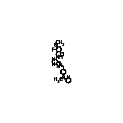 COc1ccc(Cl)c(CNc2ncnc3nn(Cc4ccc(N(C)c5ccccn5)cc4)cc23)c1F